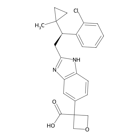 CC1([C@H](Cc2nc3cc(C4(C(=O)O)COC4)ccc3[nH]2)c2ccccc2Cl)CC1